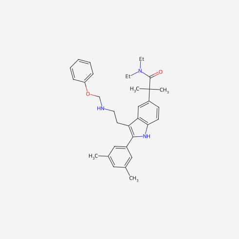 CCN(CC)C(=O)C(C)(C)c1ccc2[nH]c(-c3cc(C)cc(C)c3)c(CCNCOc3ccccc3)c2c1